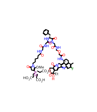 CC[C@@]1(O)C(=O)OCc2c1cc1n(c2=O)Cc2c-1nc1cc(F)c(C)c3c1c2[C@@H](NC(=O)COCNC(=O)CNC(=O)[C@H](Cc1ccccc1)NC(=O)CNC(=O)CNC(=O)CCCCCN1C(=O)CC([PH](CCC(=O)O)(CCC(=O)O)CCC(=O)O)=C1OC)CC3